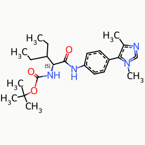 CCC(CC)[C@H](NC(=O)OC(C)(C)C)C(=O)Nc1ccc(-c2c(C)ncn2C)cc1